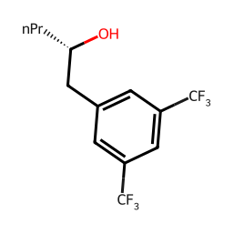 CCC[C@H](O)Cc1cc(C(F)(F)F)cc(C(F)(F)F)c1